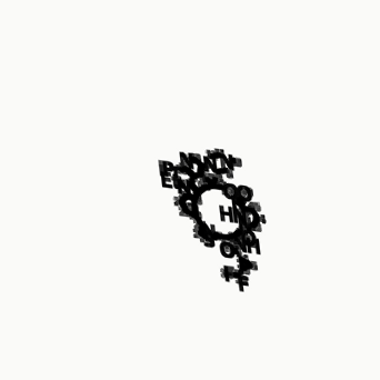 CCn1c(-c2cc(N3CCN(C)CC3)cnc2C(C)C)c2c3cc(ccc31)-c1csc(n1)C[C@H](NC(=O)[C@@H]1C[C@H]1C(F)F)C(=O)N1CCC[C@H](N1)C(=O)OCC(C)(C)C2